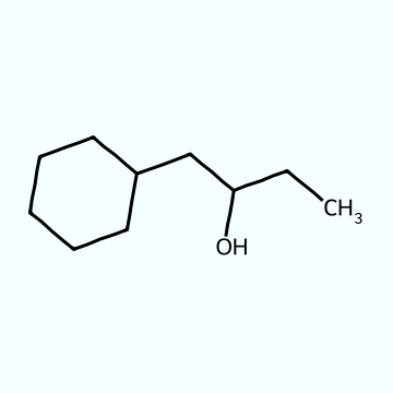 CCC(O)CC1CCCCC1